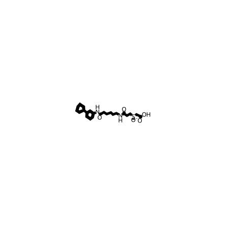 O=C(O)C[S+]([O-])CCC(=O)NCCCCCC(=O)Nc1cccc(-c2ccccc2)c1